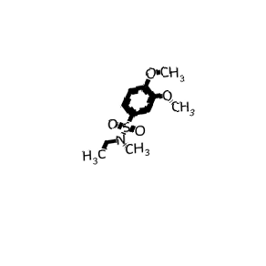 CCN(C)S(=O)(=O)c1ccc(OC)c(OC)c1